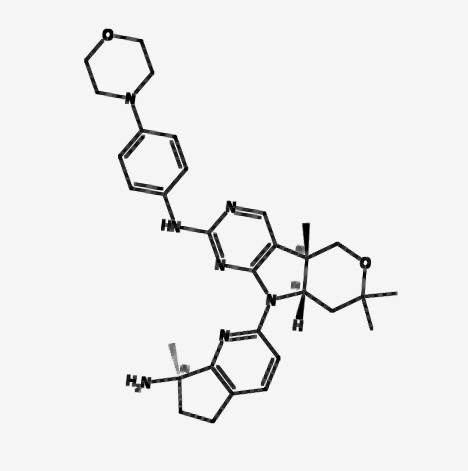 CC1(C)C[C@@H]2N(c3ccc4c(n3)[C@](C)(N)CC4)c3nc(Nc4ccc(N5CCOCC5)cc4)ncc3[C@]2(C)CO1